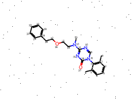 Cc1cccc(C)c1-n1cnc(N(C)CCOCCc2ccccc2)nc1=O